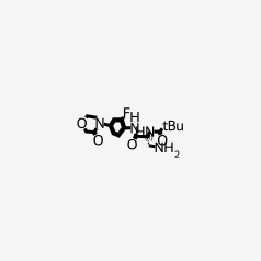 CC(C)(C)C(=O)N[C@H](CN)C(=O)Nc1ccc(N2CCOCC2=O)cc1F